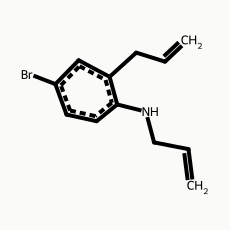 C=CCNc1ccc(Br)cc1CC=C